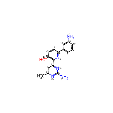 Cc1cc(-c2nc(-c3cccc(N)c3)ccc2O)nc(N)n1